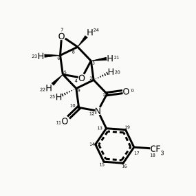 O=C1[C@@H]2[C@@H]3O[C@@H]([C@@H]4O[C@@H]43)[C@@H]2C(=O)N1c1cccc(C(F)(F)F)c1